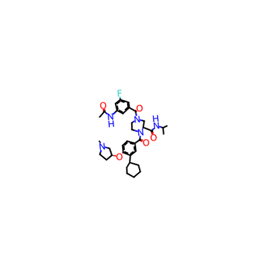 CC(=O)Nc1cc(F)cc(C(=O)N2CCN(C(=O)c3ccc(O[C@H]4CCN(C)C4)c(C4CCCCC4)c3)C(C(=O)NC(C)C)C2)c1